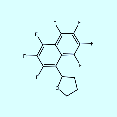 Fc1c(F)c(F)c2c(C3CCCO3)c(F)c(F)c(F)c2c1F